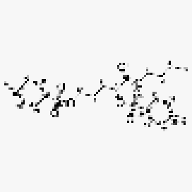 CCCCOC(=O)C(CCCOS(=O)(=O)c1ccc(C)cc1)OS(=O)(=O)c1ccc(C)cc1